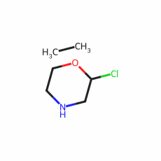 CC.ClC1CNCCO1